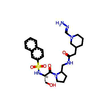 NN=CN1CCCC(CC(=O)NCC2CCCN2C(=O)[C@H](CO)NS(=O)(=O)c2ccc3ccccc3c2)C1